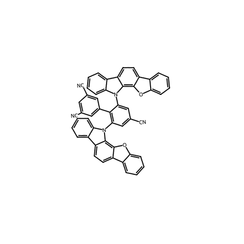 N#Cc1cc(C#N)cc(-c2c(-n3c4ccccc4c4ccc5c6ccccc6oc5c43)cc(C#N)cc2-n2c3ccccc3c3ccc4c5ccccc5oc4c32)c1